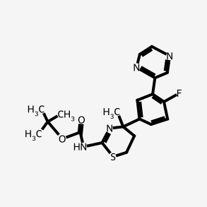 CC(C)(C)OC(=O)NC1=NC(C)(c2ccc(F)c(-c3cnccn3)c2)CCS1